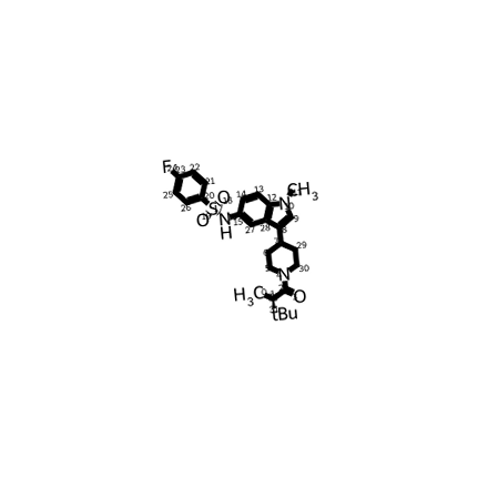 C[C@@H](C(=O)N1CCC(c2cn(C)c3ccc(NS(=O)(=O)c4ccc(F)cc4)cc23)CC1)C(C)(C)C